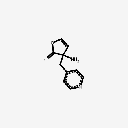 NC1(Cc2ccncc2)C=COC1=O